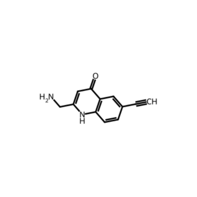 C#Cc1ccc2[nH]c(CN)cc(=O)c2c1